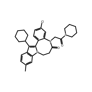 Cc1ccc2c(C3CCCCC3)c3n(c2c1)CCC(=O)N(CC(=O)N1CCCCC1)c1cc(Cl)ccc1-3